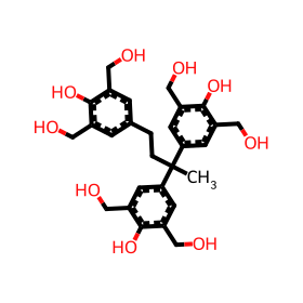 CC(CCc1cc(CO)c(O)c(CO)c1)(c1cc(CO)c(O)c(CO)c1)c1cc(CO)c(O)c(CO)c1